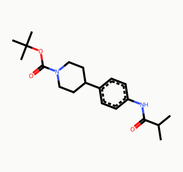 CC(C)C(=O)Nc1ccc(C2CCN(C(=O)OC(C)(C)C)CC2)cc1